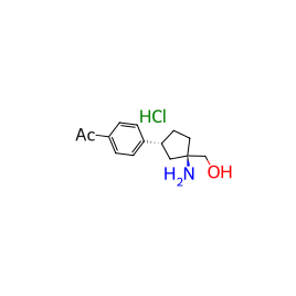 CC(=O)c1ccc([C@@H]2CC[C@](N)(CO)C2)cc1.Cl